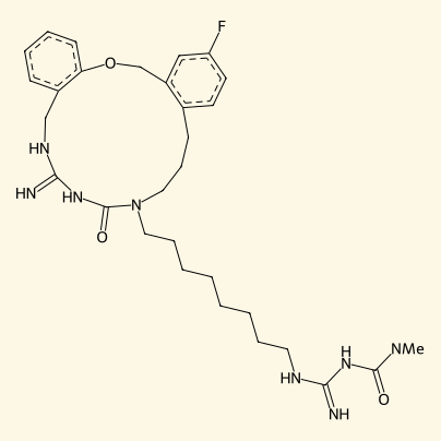 CNC(=O)NC(=N)NCCCCCCCCN1CCCc2ccc(F)cc2COc2ccccc2CNC(=N)NC1=O